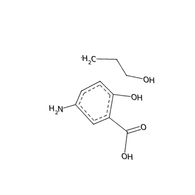 Nc1ccc(O)c(C(=O)O)c1.[CH2]CCO